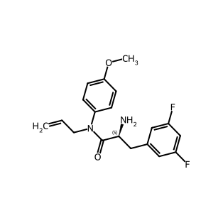 C=CCN(C(=O)[C@@H](N)Cc1cc(F)cc(F)c1)c1ccc(OC)cc1